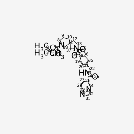 CC(C)(C)OC(=O)N1CCCC2(CCN(S(=O)(=O)c3ccc(CNC(=O)c4ccc5nccn5c4)cc3)C2)C1